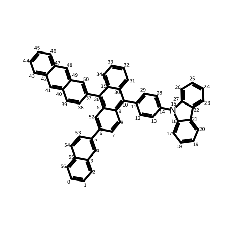 c1ccc2cc(-c3ccc4c(-c5ccc(-n6c7ccccc7c7ccccc76)cc5)c5ccccc5c(-c5ccc6cc7ccccc7cc6c5)c4c3)ccc2c1